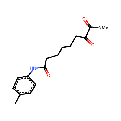 CNC(=O)C(=O)CCCCCC(=O)Nc1ccc(C)cc1